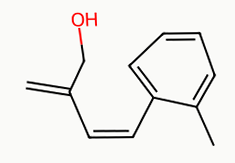 C=C(/C=C\c1ccccc1C)CO